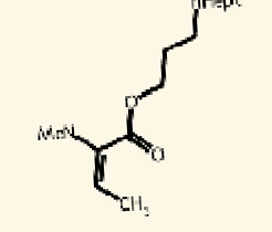 CC=C(NC)C(=O)OCCCCCCCCCC